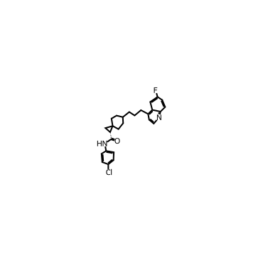 O=C(Nc1ccc(Cl)cc1)[C@@H]1CC12CCC(CCCc1ccnc3ccc(F)cc13)CC2